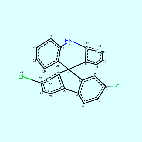 Clc1ccc2c(c1)C1(c3ccccc3Nc3ccccc31)c1cc(Cl)ccc1-2